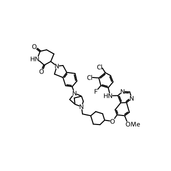 COc1cc2ncnc(Nc3ccc(Cl)c(Cl)c3F)c2cc1OC1CCC(CN2CC3CC2CN3c2ccc3c(c2)CN(C2CCC(=O)NC2=O)C3)CC1